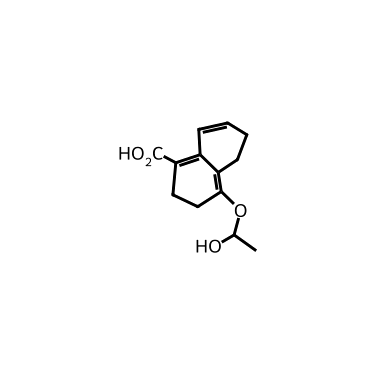 CC(O)OC1=C2CCC=CC2=C(C(=O)O)CC1